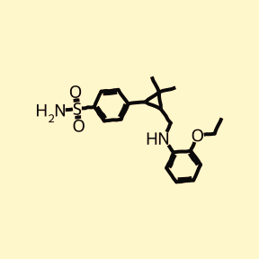 CCOc1ccccc1NCC1C(c2ccc(S(N)(=O)=O)cc2)C1(C)C